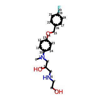 CN(CC(O)CNCCO)c1ccc(OCc2ccc(F)cc2)cc1